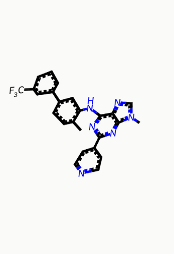 Cc1ccc(-c2cccc(C(F)(F)F)c2)cc1Nc1nc(-c2ccncc2)nc2c1ncn2C